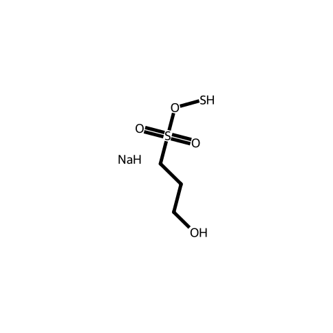 O=S(=O)(CCCO)OS.[NaH]